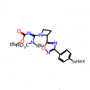 CCCCCCc1ccc(-c2noc(C3CCN3C(=NC(=O)OC(C)(C)C)N(C(=O)O)C(C)(C)C)n2)cc1